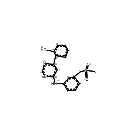 CS(=O)(=O)Cc1cccc(Nc2cc(-c3ccccc3O)ncn2)c1